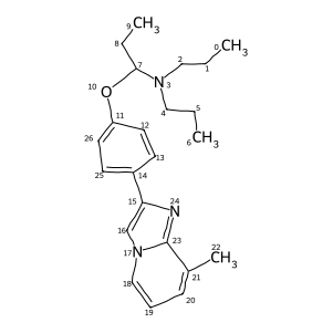 CCCN(CCC)C(CC)Oc1ccc(-c2cn3cccc(C)c3n2)cc1